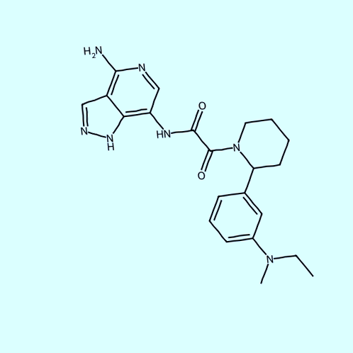 CCN(C)c1cccc(C2CCCCN2C(=O)C(=O)Nc2cnc(N)c3cn[nH]c23)c1